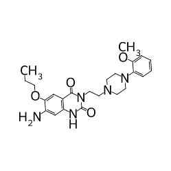 CCCOc1cc2c(=O)n(CCN3CCN(c4ccccc4OC)CC3)c(=O)[nH]c2cc1N